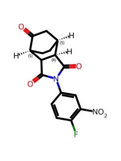 O=C1C[C@@H]2CC[C@H]1C1C(=O)N(c3ccc(F)c([N+](=O)[O-])c3)C(=O)[C@@H]12